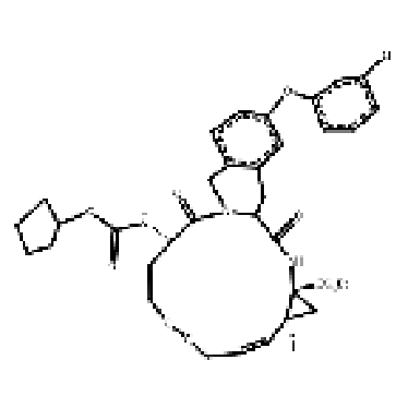 CCOC(=O)[C@@]12C[C@H]1/C=C\CCCCC[C@H](NC(=O)OC1CCCC1)C(=O)N1Cc3ccc(Oc4cccc(Cl)c4)cc3CC1C(=O)N2